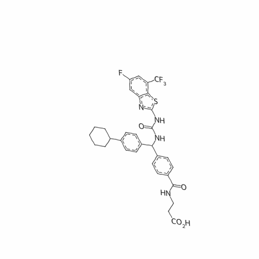 O=C(O)CCNC(=O)c1ccc(C(NC(=O)Nc2nc3cc(F)cc(C(F)(F)F)c3s2)c2ccc(C3CCCCC3)cc2)cc1